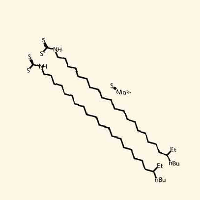 CCCCC(CC)CCCCCCCCCCCCCCCCCCCNC(=S)[S-].CCCCC(CC)CCCCCCCCCCCCCCCCCCCNC(=S)[S-].[S]=[Mo+2]